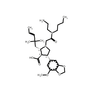 C/C=C/C(C)(C)C[C@H]1[C@H](C(=O)O)[C@@H](c2cc(OC)c3c(c2)OCO3)CN1CC(=O)N(CCN)CCCC